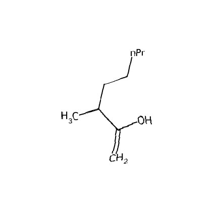 C=C(O)C(C)CCCCC